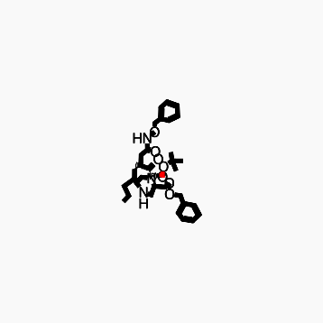 CCCCC[C@H](CC(=O)NOCc1ccccc1)C(=O)[N@@+]1(C(=O)OC(C)(C)C)CCNCC1C(=O)OCc1ccccc1